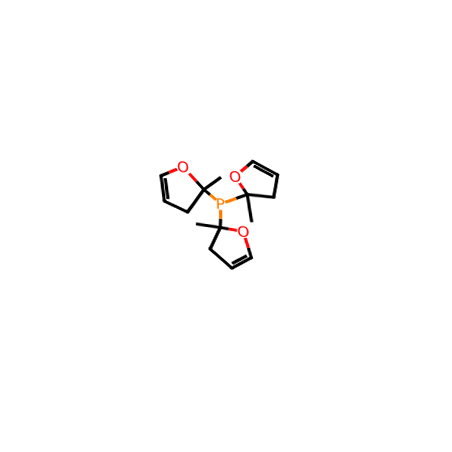 CC1(P(C2(C)CC=CO2)C2(C)CC=CO2)CC=CO1